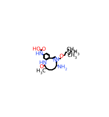 C[C@@H]1CCC[C@H](N)c2nc(cn2COCC[Si](C)(C)C)-c2ccc(NC(=O)O)cc2NC1=O